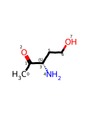 CC(=O)[C@@H](N)CCO